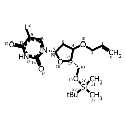 C=CCOC1C[C@@H](n2cc(I)c(=O)[nH]c2=O)O[C@H]1CO[Si](C)(C)C(C)(C)C